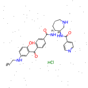 CC(C)CNc1ccc(O)c(C(=O)c2ccc(C(=O)N[C@@H]3CCCNC[C@H]3NC(=O)c3ccncc3)cc2)c1.Cl